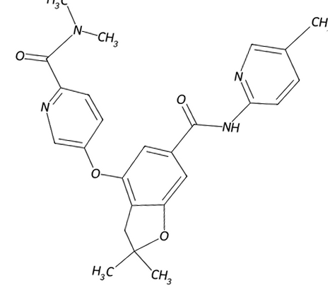 Cc1ccc(NC(=O)c2cc(Oc3ccc(C(=O)N(C)C)nc3)c3c(c2)OC(C)(C)C3)nc1